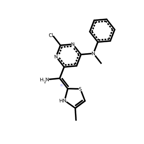 CC1=CS/C(=C(/N)c2cc(N(C)c3ccccc3)nc(Cl)n2)N1